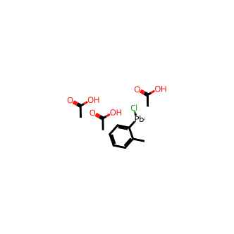 CC(=O)O.CC(=O)O.CC(=O)O.Cc1cccc[c]1[Pb][Cl]